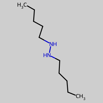 CCCCCNNCCCCC